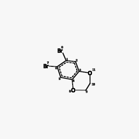 Brc1cc2c(cc1Br)OCCO2